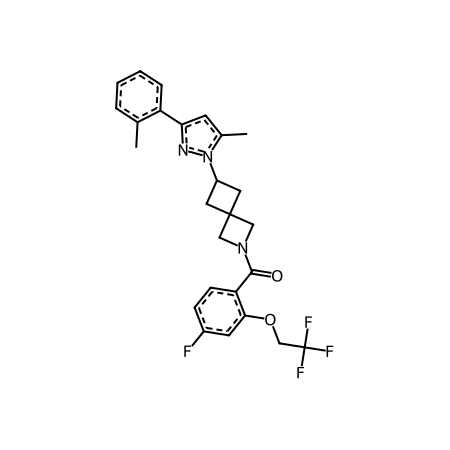 Cc1ccccc1-c1cc(C)n(C2CC3(C2)CN(C(=O)c2ccc(F)cc2OCC(F)(F)F)C3)n1